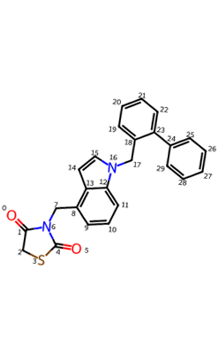 O=C1CSC(=O)N1Cc1cccc2c1ccn2Cc1ccccc1-c1ccccc1